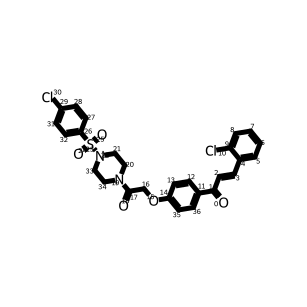 O=C(C=Cc1ccccc1Cl)c1ccc(OCC(=O)N2CCN(S(=O)(=O)c3ccc(Cl)cc3)CC2)cc1